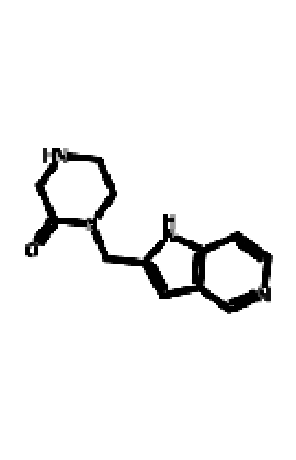 O=C1CNCCN1Cc1cc2cnccc2[nH]1